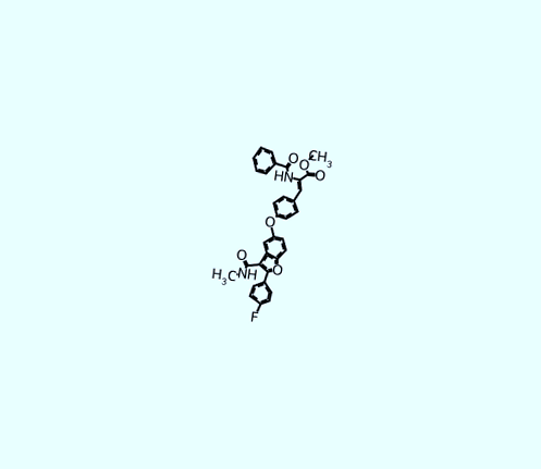 CNC(=O)c1c(-c2ccc(F)cc2)oc2ccc(Oc3ccc(/C=C(\NC(=O)c4ccccc4)C(=O)OC)cc3)cc12